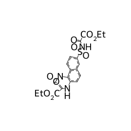 CCOC(=O)C(=O)Nc1ccc2cc(S(=O)(=O)NC(=O)C(=O)OCC)ccc2c1[N+](=O)[O-]